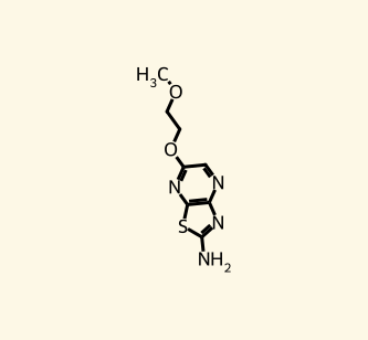 COCCOc1cnc2nc(N)sc2n1